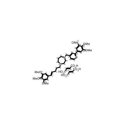 COc1cc(/C=C/CCCN2CCCN(Cc3ccnc(-c4cc(OC)c(OC)c(OC)c4)c3)CC2)cc(OC)c1OC.O=C(O)/C=C/C(=O)O.O=C(O)/C=C/C(=O)O